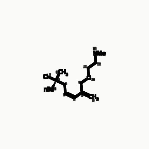 C=C(/C=C\C[C@](C)(Cl)CCCC)COCCNC